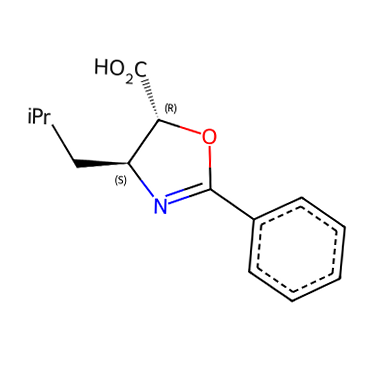 CC(C)C[C@@H]1N=C(c2ccccc2)O[C@H]1C(=O)O